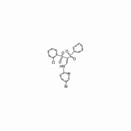 O=S(=O)(C(=CNc1ccc(Br)cn1)S(=O)(=O)c1ccccc1Cl)c1ccccc1